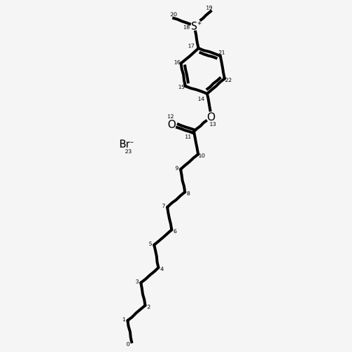 CCCCCCCCCCCC(=O)Oc1ccc([S+](C)C)cc1.[Br-]